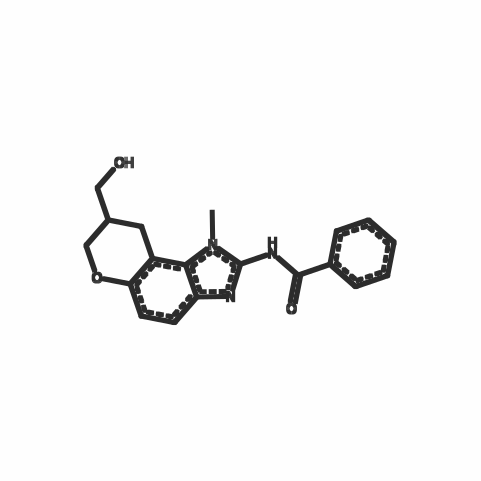 Cn1c(NC(=O)c2ccccc2)nc2ccc3c(c21)CC(CO)CO3